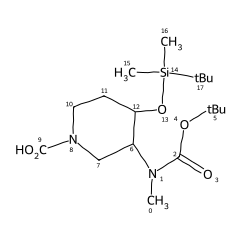 CN(C(=O)OC(C)(C)C)C1CN(C(=O)O)CCC1O[Si](C)(C)C(C)(C)C